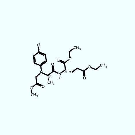 CCOC(=O)CC[C@H](NC(=O)[C@@H](C)N(CC(=O)OC)c1ccc(Cl)cc1)C(=O)OCC